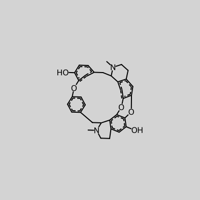 CN1CCc2cc3c4cc2C1Cc1ccc(O)c(c1)Oc1ccc(cc1)CC1c2c(cc(O)c(c2O4)O3)CCN1C